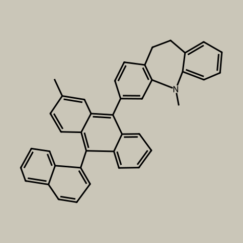 Cc1ccc2c(-c3cccc4ccccc34)c3ccccc3c(-c3ccc4c(c3)N(C)c3ccccc3CC4)c2c1